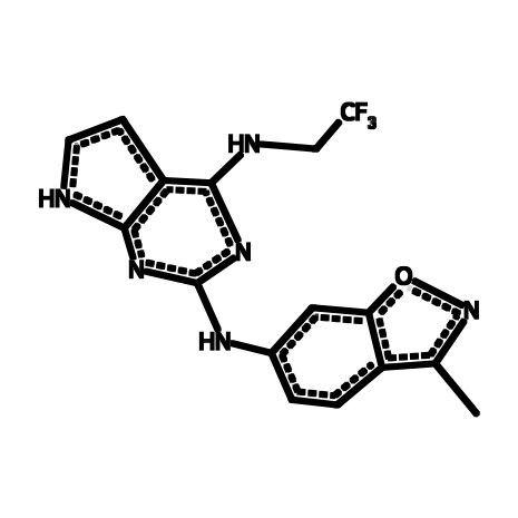 Cc1noc2cc(Nc3nc(NCC(F)(F)F)c4cc[nH]c4n3)ccc12